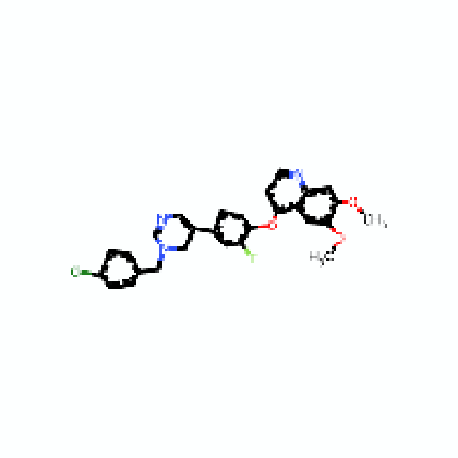 COc1cc2nccc(Oc3ccc(C4=CN=CN(Cc5ccc(Cl)cc5)C4)cc3F)c2cc1OC